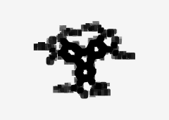 CCCCCCCCC[S+]([O-])c1cc2c3cc([S+]([O-])CCCCCCCCC)c([S+]([O-])CCCCCCCCC)cc3c3cc([S+]([O-])CCCCCCCCC)c([S+]([O-])CCCCCCCCC)cc3c2cc1[S+]([O-])CCCCCCCCC